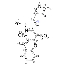 CC(C)Cn1c(/C=C/c2cnn(C)c2)c([N+](=O)[O-])c(=O)n(C(C)c2ccccc2)c1=O